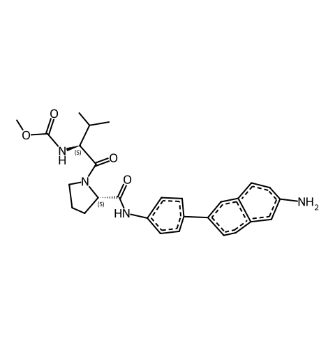 COC(=O)N[C@H](C(=O)N1CCC[C@H]1C(=O)Nc1ccc(-c2ccc3cc(N)ccc3c2)cc1)C(C)C